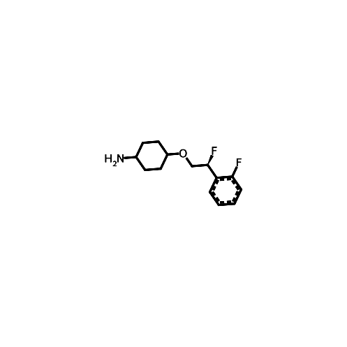 NC1CCC(OC[C@@H](F)c2ccccc2F)CC1